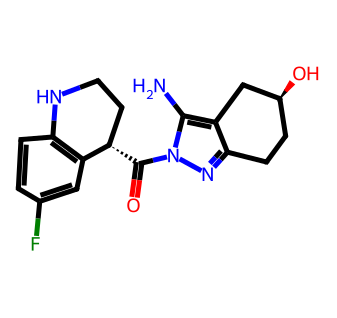 Nc1c2c(nn1C(=O)[C@H]1CCNc3ccc(F)cc31)CC[C@H](O)C2